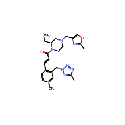 COCC1CN(Cc2coc(C)n2)CCN1C(=O)/C=C/c1ccc(C(F)(F)F)cc1Cn1nnc(C)n1